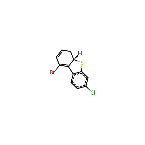 Clc1ccc2c(c1)S[C@H]1CC=CC(Br)=C21